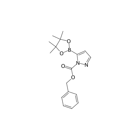 CC1(C)OB(c2ccnn2C(=O)OCc2ccccc2)OC1(C)C